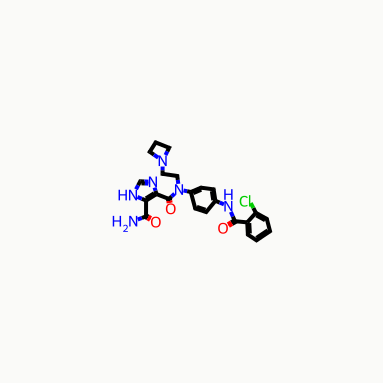 NC(=O)c1[nH]cnc1C(=O)N(CCN1CCC1)c1ccc(NC(=O)c2ccccc2Cl)cc1